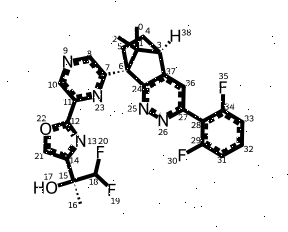 CC1(C)[C@H]2CC[C@]1(c1cncc(-c3nc([C@](C)(O)C(F)F)co3)n1)c1nnc(-c3c(F)cccc3F)cc12